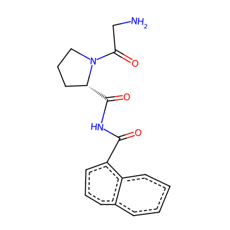 NCC(=O)N1CCC[C@H]1C(=O)NC(=O)c1cccc2ccccc12